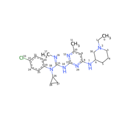 CCN1CCCC(Nc2cc(C)nc(N/C(=N/C)N(c3ccc(Cl)cc3)C3CC3)n2)C1